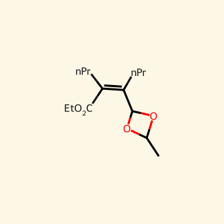 CCC/C(C(=O)OCC)=C(\CCC)C1OC(C)O1